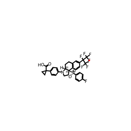 O=C(O)C1(c2ccc(N3CC[C@@]4(S(=O)(=O)c5ccc(F)cc5)c5ccc(C(F)(C(F)(F)F)C(F)(F)F)cc5CC[C@@H]34)cc2)CC1